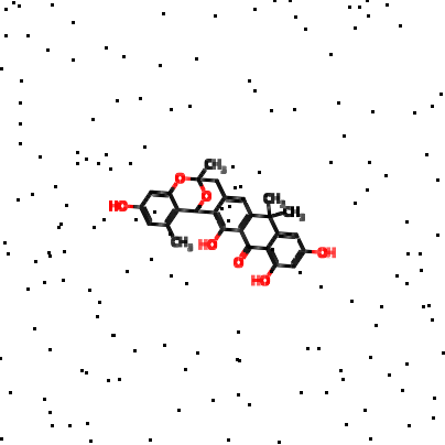 Cc1cc(O)cc2c1C1OC(C)(Cc3cc4c(c(O)c31)C(=O)c1c(O)cc(O)cc1C4(C)C)O2